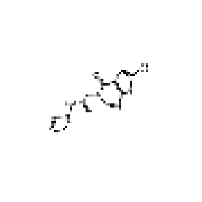 CCc1cc2c(=O)n(CC(=O)Nc3cscn3)cnc2s1